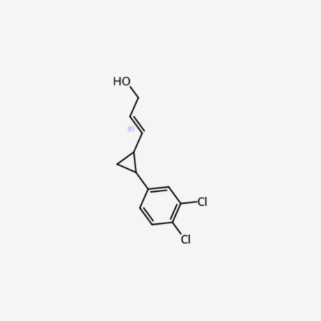 OC/C=C/C1CC1c1ccc(Cl)c(Cl)c1